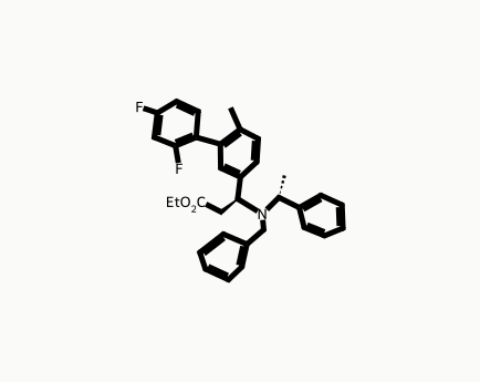 CCOC(=O)C[C@@H](c1ccc(C)c(-c2ccc(F)cc2F)c1)N(Cc1ccccc1)[C@H](C)c1ccccc1